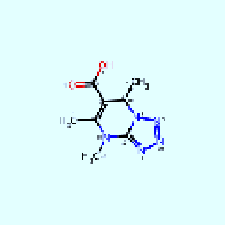 CC1=C(C(=O)O)[C@@H](C)n2nnnc2N1C